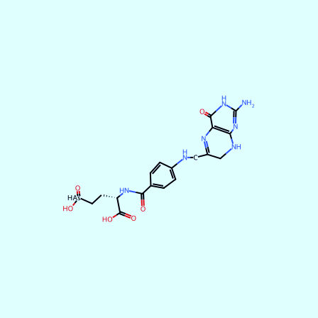 Nc1nc2c(c(=O)[nH]1)N=C(CNc1ccc(C(=O)N[C@@H](CC[AsH](=O)O)C(=O)O)cc1)CN2